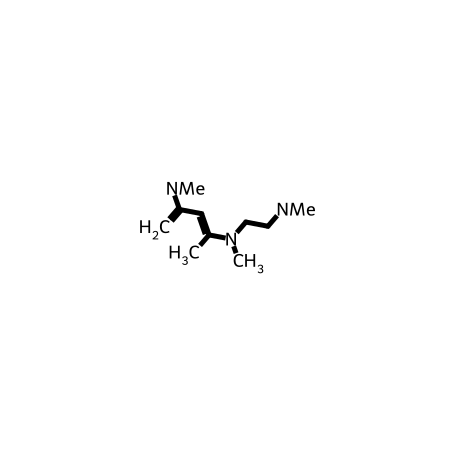 C=C(/C=C(\C)N(C)CCNC)NC